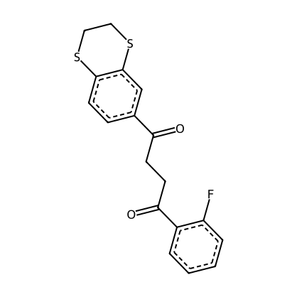 O=C(CCC(=O)c1ccccc1F)c1ccc2c(c1)SCCS2